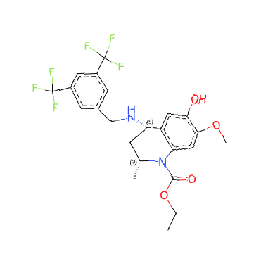 CCOC(=O)N1c2cc(OC)c(O)cc2[C@@H](NCc2cc(C(F)(F)F)cc(C(F)(F)F)c2)C[C@H]1C